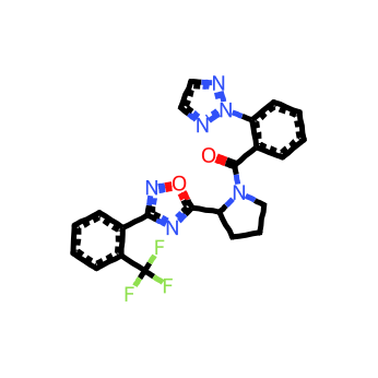 O=C(c1ccccc1-n1nccn1)N1CCCC1c1nc(-c2ccccc2C(F)(F)F)no1